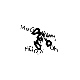 COc1ccc(-c2cc(-c3ccc([N+](=O)[O-])cc3)nc(N=C(N)Nc3ccc(O)cc3)n2)cc1.Cl